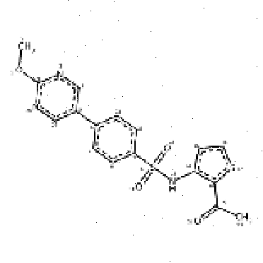 COc1ncc(-c2ccc(S(=O)(=O)Nc3ccsc3C(C)=O)cc2)cn1